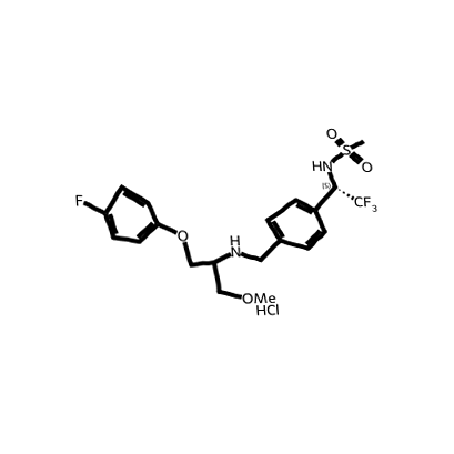 COCC(COc1ccc(F)cc1)NCc1ccc([C@H](NS(C)(=O)=O)C(F)(F)F)cc1.Cl